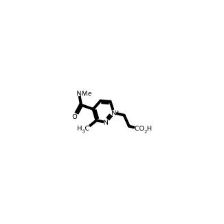 CNC(=O)c1cc[n+](CCC(=O)O)nc1C